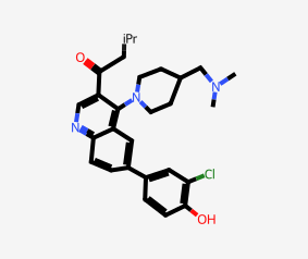 CC(C)CC(=O)c1cnc2ccc(-c3ccc(O)c(Cl)c3)cc2c1N1CCC(CN(C)C)CC1